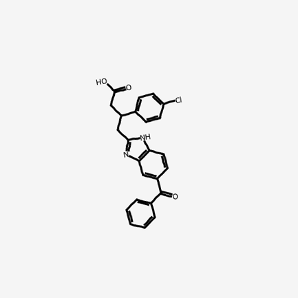 O=C(O)CC(Cc1nc2cc(C(=O)c3ccccc3)ccc2[nH]1)c1ccc(Cl)cc1